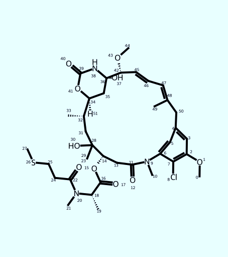 COc1cc2cc(c1Cl)N(C)C(=O)C[C@H](OC(=O)[C@H](C)N(C)C(=O)CCSC)C(C)(O)C[C@H](C)[C@@H]1C[C@@](O)(NC(=O)O1)[C@H](OC)/C=C/C=C(\C)C2